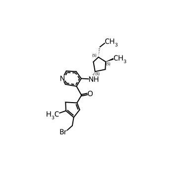 CC[C@H]1C[C@@H](Nc2ccncc2C(=O)C2=CC(CBr)=C(C)C2)C[C@@H]1C